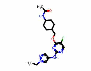 CCn1cc(Nc2ncc(F)c(OCC3CCC(NC(C)=O)CC3)n2)cn1